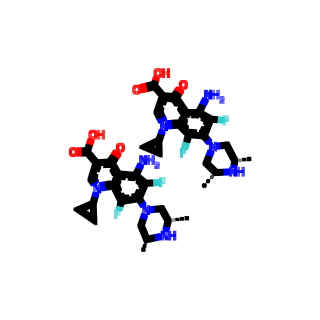 C[C@@H]1CN(c2c(F)c(N)c3c(=O)c(C(=O)O)cn(C4CC4)c3c2F)C[C@H](C)N1.C[C@@H]1CN(c2c(F)c(N)c3c(=O)c(C(=O)O)cn(C4CC4)c3c2F)C[C@H](C)N1